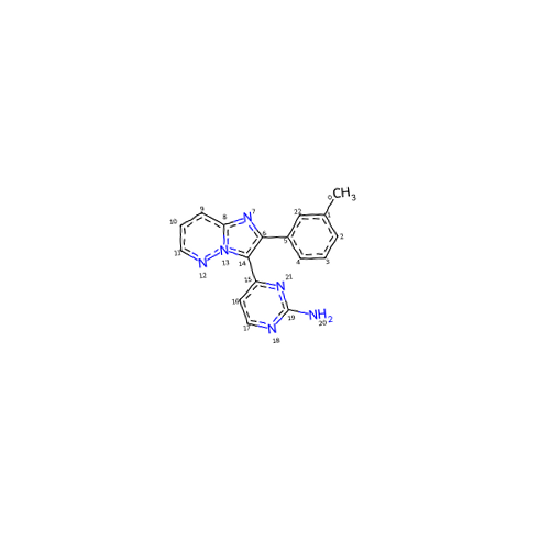 Cc1cccc(-c2nc3cccnn3c2-c2ccnc(N)n2)c1